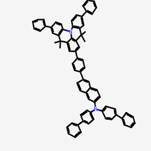 CC1(C)c2cc(-c3ccccc3)ccc2N2c3ccc(-c4ccccc4)cc3C(C)(C)c3cc(-c4ccc(-c5ccc6cc(N(c7ccc(-c8ccccc8)cc7)c7ccc(-c8ccccc8)cc7)ccc6c5)cc4)cc1c32